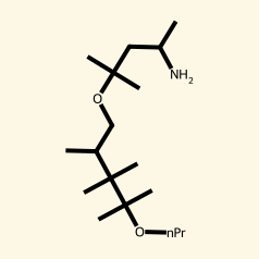 CCCOC(C)(C)C(C)(C)C(C)COC(C)(C)CC(C)N